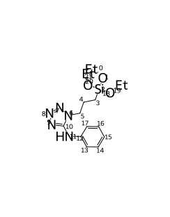 CCO[Si](CCCn1nnnc1Nc1ccccc1)(OCC)OCC